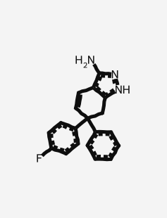 Nc1n[nH]c2c1C=CC(c1ccccc1)(c1ccc(F)cc1)C2